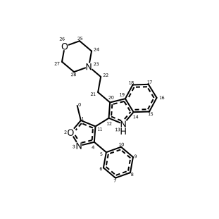 Cc1onc(-c2ccccc2)c1-c1[nH]c2ccccc2c1CCN1CCOCC1